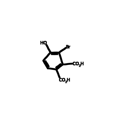 O=C(O)c1ccc(O)c(Br)c1C(=O)O